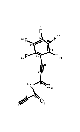 C#CC(=O)OC(=O)C#Cc1c(F)c(F)c(F)c(F)c1F